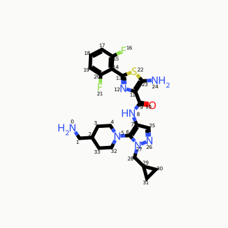 NCC1CCN(c2c(NC(=O)c3nc(-c4c(F)cccc4F)sc3N)cnn2CC2CC2)CC1